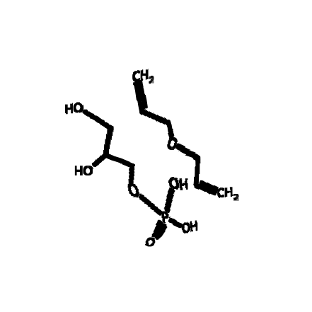 C=CCOCC=C.O=P(O)(O)OCC(O)CO